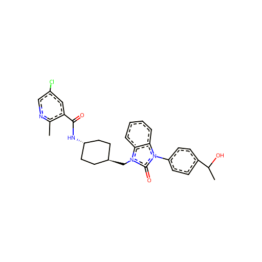 Cc1ncc(Cl)cc1C(=O)N[C@H]1CC[C@H](Cn2c(=O)n(-c3ccc(C(C)O)cc3)c3ccccc32)CC1